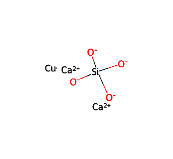 [Ca+2].[Ca+2].[Cu].[O-][Si]([O-])([O-])[O-]